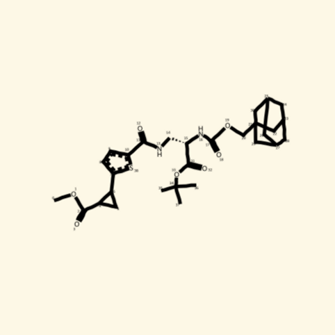 COC(=O)C1CC1c1ccc(C(=O)NC[C@H](NC(=O)OCC23CC4CC(CC(C4)C2)C3)C(=O)OC(C)(C)C)s1